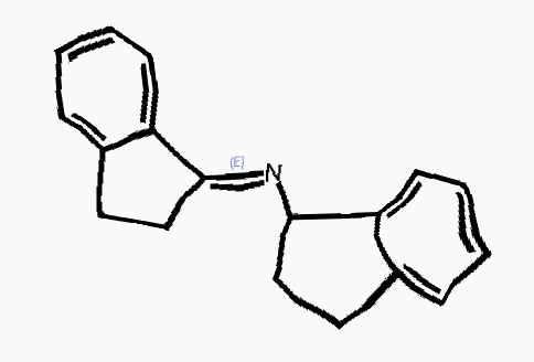 c1ccc2c(c1)CC/C2=N\C1CCc2ccccc21